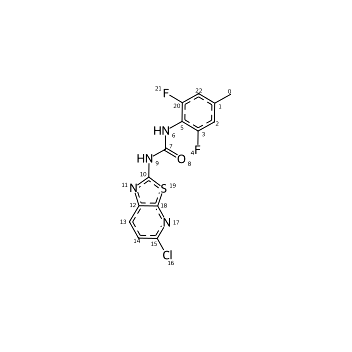 Cc1cc(F)c(NC(=O)Nc2nc3ccc(Cl)nc3s2)c(F)c1